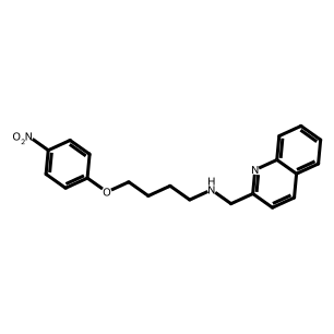 O=[N+]([O-])c1ccc(OCCCCNCc2ccc3ccccc3n2)cc1